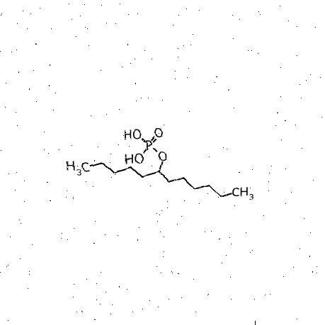 CCCCCCC(CCCCC)OP(=O)(O)O